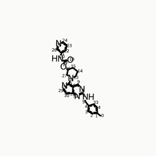 Cc1ccc(CNc2ncc3c(N4CCCC(OC(=O)Nc5cccnc5)C4)nccc3n2)cc1